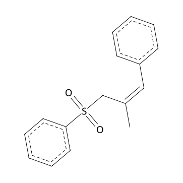 CC(=Cc1ccccc1)CS(=O)(=O)c1ccccc1